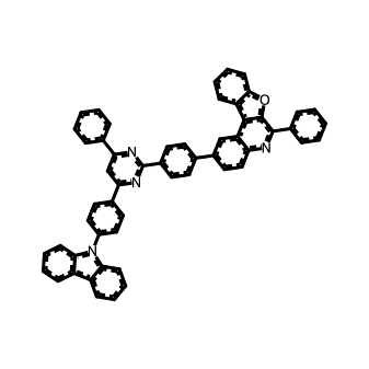 c1ccc(-c2cc(-c3ccc(-n4c5ccccc5c5ccccc54)cc3)nc(-c3ccc(-c4ccc5nc(-c6ccccc6)c6oc7ccccc7c6c5c4)cc3)n2)cc1